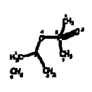 C.CC(C)OP(C)(C)=O